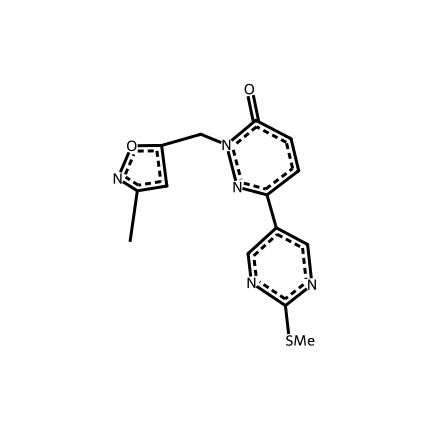 CSc1ncc(-c2ccc(=O)n(Cc3cc(C)no3)n2)cn1